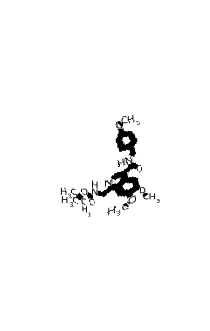 COc1ccc(CNC(=O)c2cnc(CNC(=O)OC(C)(C)C)c3cc(OC)c(OC)cc23)cc1